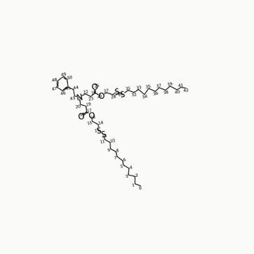 CCCCCCCCCCCCSSCCOC(=O)CCN(CCC(=O)OCCSSCCCCCCCCCCCC)CCc1ccccc1